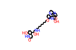 O=C(O)NC(c1cccc(OCCCCCCCCCNC[C@H](O)c2ccc(O)c3[nH]c(=O)ccc23)c1)(c1ccccn1)[C@H]1CN2CCC1CC2